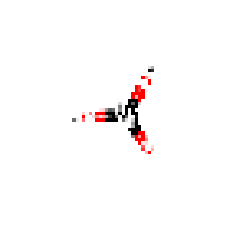 [O]=[Mg](=[O])=[O]